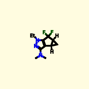 CCn1nc(N(C)C)c2c1C(F)(F)[C@@H]1C[C@H]21